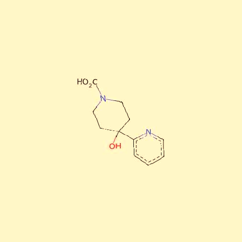 O=C(O)N1CCC(O)(c2ccccn2)CC1